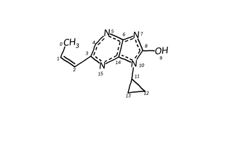 C/C=C\c1cnc2nc(O)n(C3CC3)c2n1